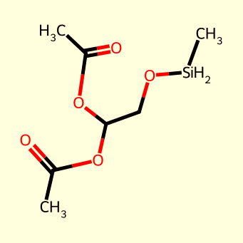 C[SiH2]OCC(OC(C)=O)OC(C)=O